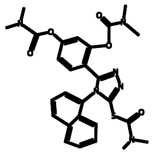 CN(C)C(=O)Oc1ccc(-c2nnc(SC(=O)N(C)C)n2-c2cccc3ccccc23)c(OC(=O)N(C)C)c1